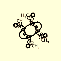 CC(OC(=O)COc1c2cc3cc1C1CCC1c1cc(cc(c1OCC(=O)OC(C)c1ccccc1)Cc1cc4cc(c1OCC(=O)OC(C)c1ccccc1)C1CCC1c1cc(cc(c1OCC(=O)OC(C)c1ccccc1)C2)CCCCC4)CCCCC3)c1ccccc1